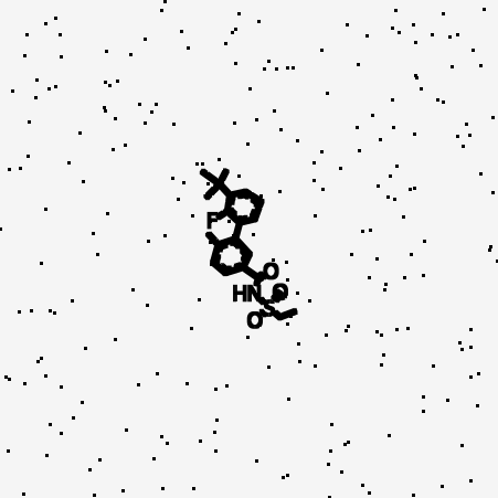 CCS(=O)(=O)NC(=O)c1ccc(C)c(-c2cccc(C(C)(C)C)c2F)c1